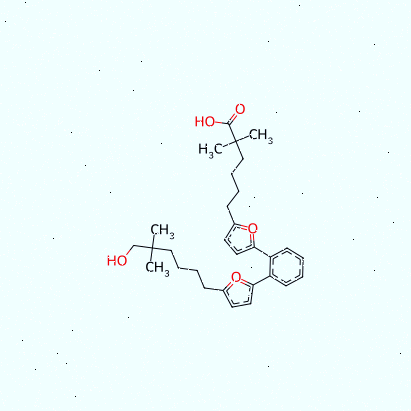 CC(C)(CO)CCCCc1ccc(-c2ccccc2-c2ccc(CCCCC(C)(C)C(=O)O)o2)o1